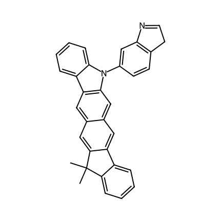 CC1(C)c2ccccc2-c2cc3cc4c(cc3cc21)c1ccccc1n4-c1ccc2c(c1)N=CC2